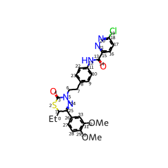 CCC1SC(=O)N(CCc2ccc(NC(=O)c3ccc(Cl)nn3)cc2)N=C1c1ccc(OC)c(OC)c1